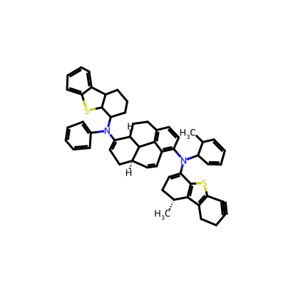 CC1C=CC=CC1N(C1=CC[C@@H](C)c2c1sc1c2CCC#C1)c1ccc2c3c1C=C[C@H]1CC=C(N(c4ccccc4)C4CCCC5c6ccccc6SC54)[C@@H](CC2)C31